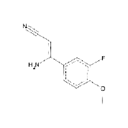 COc1ccc(C(N)=CC#N)cc1F